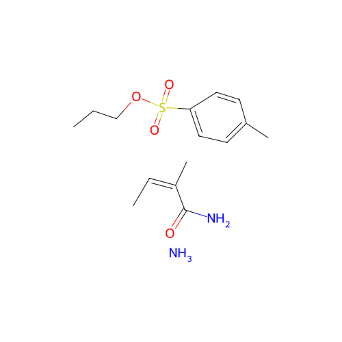 CC=C(C)C(N)=O.CCCOS(=O)(=O)c1ccc(C)cc1.N